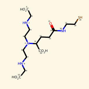 O=C(O)CNCCN(CCNCC(=O)O)C(CCC(=O)NCCS)C(=O)O